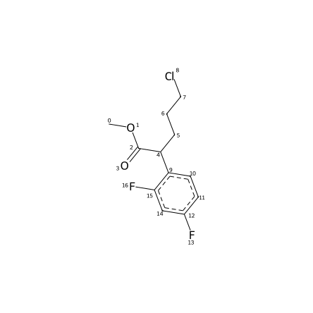 COC(=O)C(CCCCl)c1ccc(F)cc1F